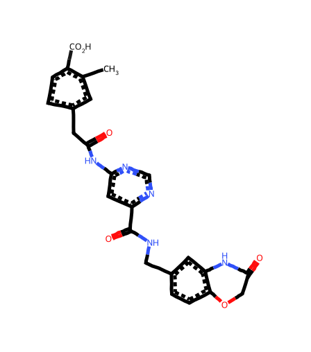 Cc1cc(CC(=O)Nc2cc(C(=O)NCc3ccc4c(c3)NC(=O)CO4)ncn2)ccc1C(=O)O